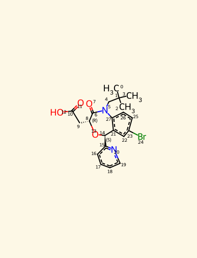 CC(C)(C)CN1C(=O)[C@@H](CC(=O)O)O[C@H](c2ccccn2)c2cc(Br)ccc21